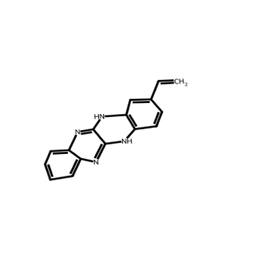 C=Cc1ccc2c(c1)Nc1nc3ccccc3nc1N2